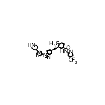 Cc1ccc(C(=O)Nc2cc(C(F)(F)F)ccn2)cc1C#Cc1ccc2c(c1)ncn2-c1cnn(C2CCNCC2)c1